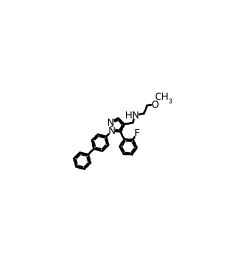 COCCNCc1cnn(-c2ccc(-c3ccccc3)cc2)c1-c1ccccc1F